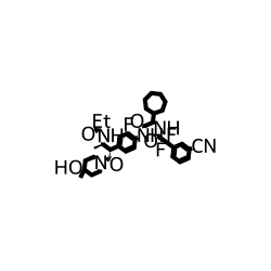 CCC(=O)N[C@H](C)[C@@H](C(=O)N1CCC(C)(O)CC1)c1ccc(NC(=O)[C@@H](NC(=O)C(F)(F)c2cccc(C#N)c2)C2CCCCCC2)c(F)c1